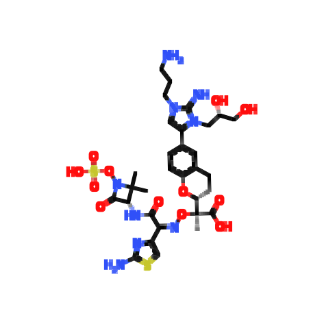 CC1(C)[C@H](NC(=O)/C(=N\O[C@](C)(C(=O)O)[C@H]2CCc3cc(-c4cn(CCCN)c(=N)n4C[C@H](O)CO)ccc3O2)c2csc(N)n2)C(=O)N1OS(=O)(=O)O